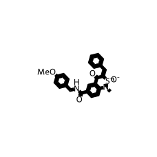 COc1ccc(CNC(=O)c2ccc3c(c2)C(=O)/C(=C\c2ccccc2)[S+]([O-])N3C)cc1